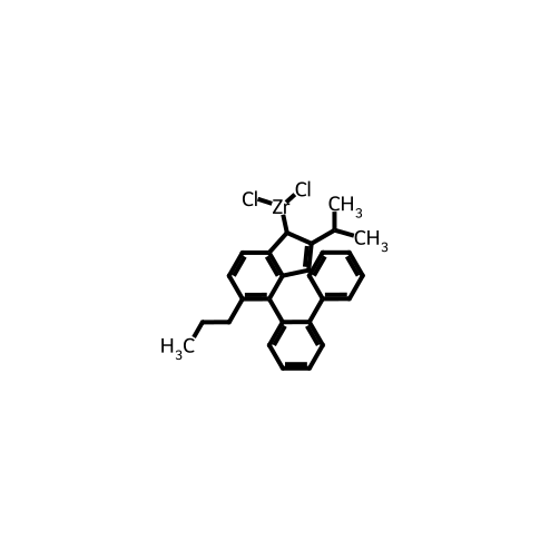 CCCc1ccc2c(c1-c1ccccc1-c1ccccc1)C=C(C(C)C)[CH]2[Zr]([Cl])[Cl]